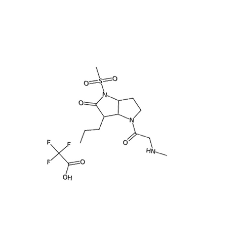 CCCC1C(=O)N(S(C)(=O)=O)C2CCN(C(=O)CNC)C12.O=C(O)C(F)(F)F